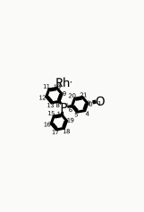 C=O.[Rh].c1ccc(P(c2ccccc2)c2ccccc2)cc1